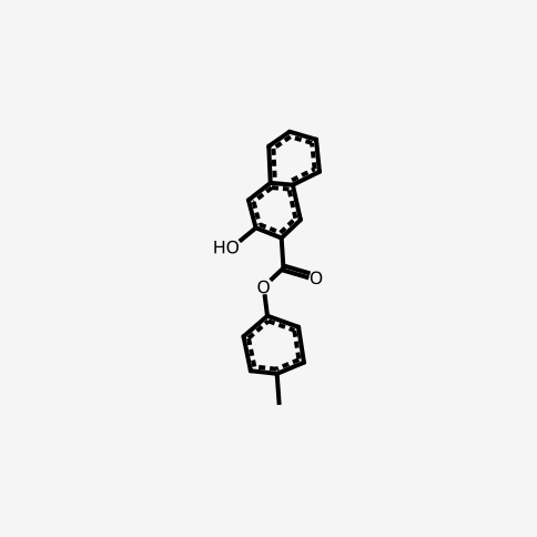 Cc1ccc(OC(=O)c2cc3ccccc3cc2O)cc1